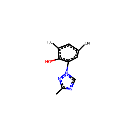 Cc1ncn(-c2cc(C#N)cc(C(F)(F)F)c2O)n1